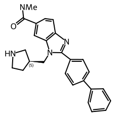 CNC(=O)c1ccc2nc(-c3ccc(-c4ccccc4)cc3)n(C[C@H]3CCNC3)c2c1